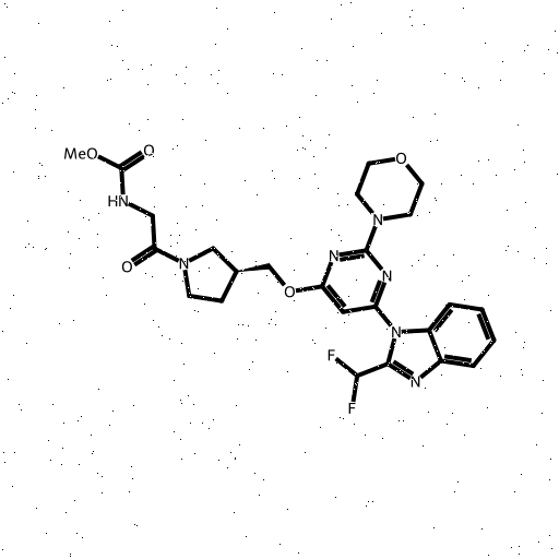 COC(=O)NCC(=O)N1CC[C@H](COc2cc(-n3c(C(F)F)nc4ccccc43)nc(N3CCOCC3)n2)C1